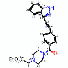 CCOC(=O)CN1CCN(C(=O)c2ccc(/C=C/c3n[nH]c4ccccc34)cc2)CC1